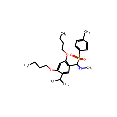 CCCCOc1cc(OCCCC)c(C(NC)S(=O)(=O)c2ccc(C)cc2)cc1C(C)C